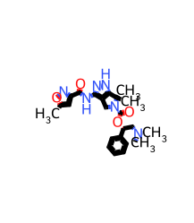 Cc1cc(C(=O)Nc2n[nH]c3c2CN(C(=O)OC(CN(C)C)c2ccccc2)C3(C)C)no1